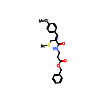 COc1ccc(/C=C(\CSC(C)=O)C(=O)NCCC(=O)OCc2ccccc2)cc1